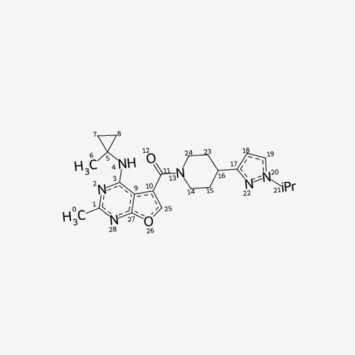 Cc1nc(NC2(C)CC2)c2c(C(=O)N3CCC(c4ccn(C(C)C)n4)CC3)coc2n1